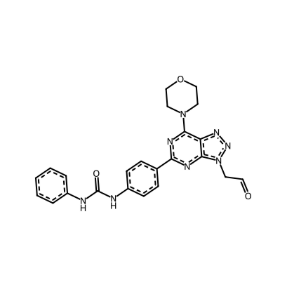 O=CCn1nnc2c(N3CCOCC3)nc(-c3ccc(NC(=O)Nc4ccccc4)cc3)nc21